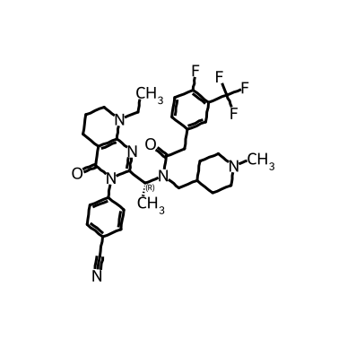 CCN1CCCc2c1nc([C@@H](C)N(CC1CCN(C)CC1)C(=O)Cc1ccc(F)c(C(F)(F)F)c1)n(-c1ccc(C#N)cc1)c2=O